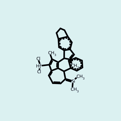 CC1=Cc2cc3c(cc2C1C1=C2C(=CC=CC(=[Si](C)C)C2c2ccccc2)[C]([Hf]([Cl])[Cl])=C1C)CCC3